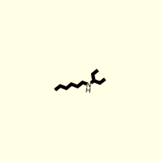 CCCCCCNC(CC)CC